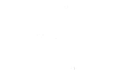 C[CH]CCCC(C)CCCCCCC